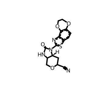 N#CC1C[C@@H]2C(CO1)NC(=O)N2c1nc2c3c(ccc2s1)OCCO3